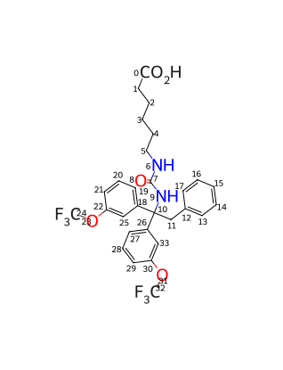 O=C(O)CCCCCNC(=O)NC(Cc1ccccc1)(c1cccc(OC(F)(F)F)c1)c1cccc(OC(F)(F)F)c1